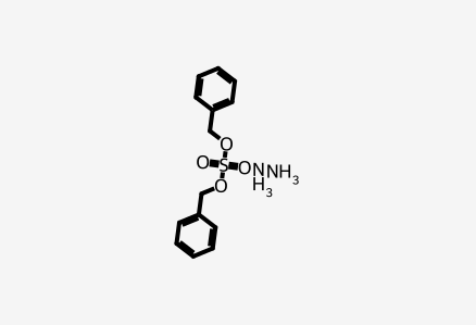 N.N.O=S(=O)(OCc1ccccc1)OCc1ccccc1